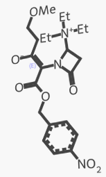 CC[N+](CC)(CC)C1CC(=O)N1/C(C(=O)OCc1ccc([N+](=O)[O-])cc1)=C(/[O-])CCOC